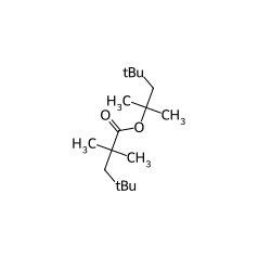 CC(C)(C)CC(C)(C)OC(=O)C(C)(C)CC(C)(C)C